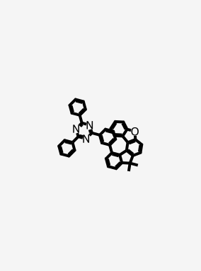 CC1(C)c2cccc(-c3cccc(-c4nc(-c5ccccc5)nc(-c5ccccc5)n4)c3)c2-c2c1ccc1oc3ccccc3c21